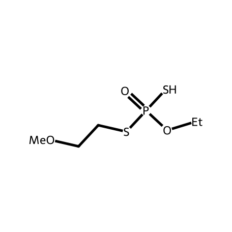 CCOP(=O)(S)SCCOC